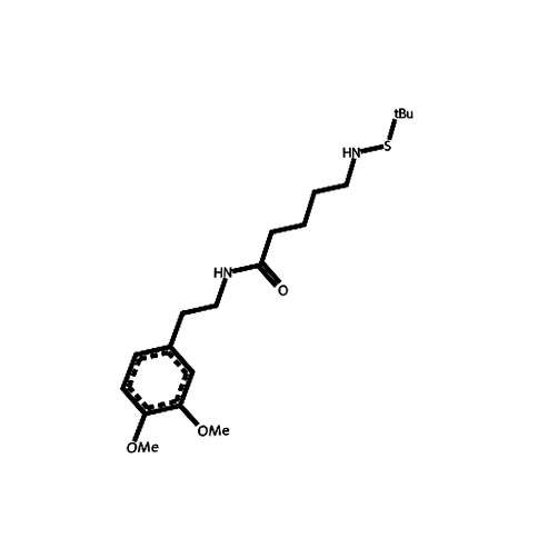 COc1ccc(CCNC(=O)CCCCNSC(C)(C)C)cc1OC